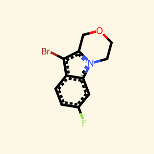 Fc1ccc2c(Br)c3n(c2c1)CCOC3